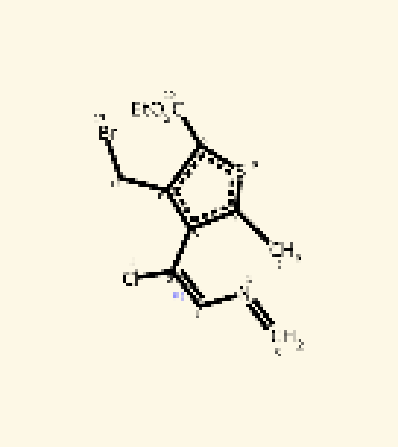 C=N/C=C(/Cl)c1c(C)sc(C(=O)OCC)c1CBr